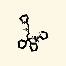 O=C(NC(CCNCc1ccccn1)(c1ccccc1)c1ccccc1)c1ccccn1